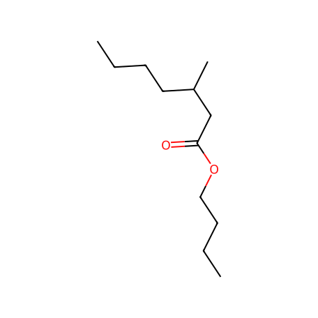 CCCCOC(=O)CC(C)CCCC